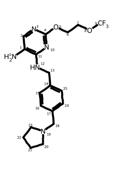 Nc1cnc(OCCOC(F)(F)F)nc1NCc1ccc(CN2CCCC2)cc1